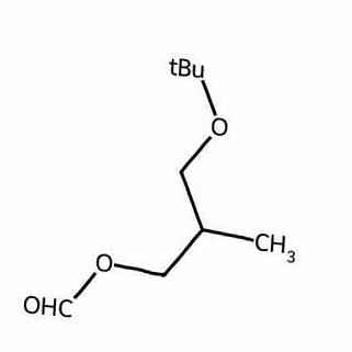 CC(COC=O)COC(C)(C)C